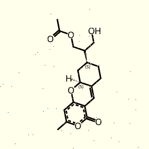 CC(=O)OCC(CO)[C@H]1CCC2=Cc3c(cc(C)oc3=O)O[C@H]2C1